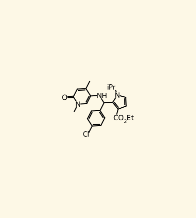 CCOC(=O)c1ccn(C(C)C)c1C(Nc1cn(C)c(=O)cc1C)c1ccc(Cl)cc1